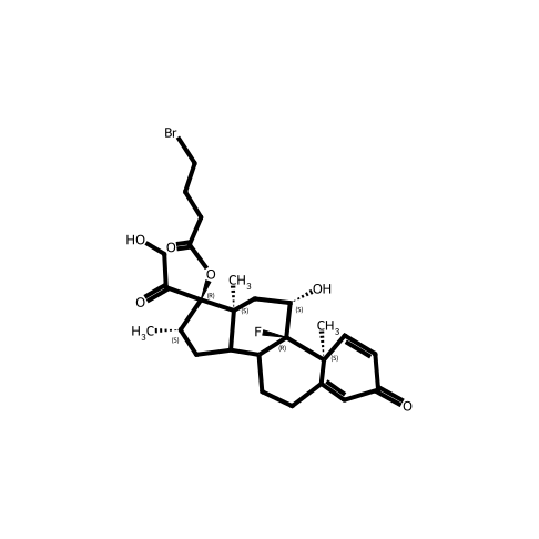 C[C@H]1CC2C3CCC4=CC(=O)C=C[C@]4(C)[C@@]3(F)[C@@H](O)C[C@]2(C)[C@@]1(OC(=O)CCCBr)C(=O)CO